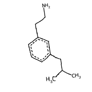 CC(C)Cc1cccc(CCN)c1